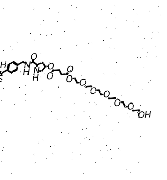 Cc1ncsc1-c1ccc(CNC(=O)C2CC(OC(=O)CCC(=O)OCCOCCOCCOCCOCCOCCO)CN2)cc1